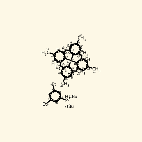 CCc1cc(CC)cc([PH+](C(C)(C)C)C(C)(C)C)c1.Cc1cc(C)c([B-](c2c(C)cc(C)cc2C)(c2c(C)cc(C)cc2C)c2c(C)cc(C)cc2C)c(C)c1